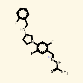 NC(=S)N/N=C/c1cc(F)c(N2CC[C@H](NCc3ccccc3F)C2)cc1F